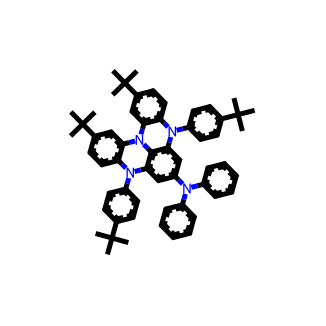 CC(C)(C)c1ccc(N2c3ccc(C(C)(C)C)cc3N3c4cc(C(C)(C)C)ccc4N(c4ccc(C(C)(C)C)cc4)c4cc(N(c5ccccc5)c5ccccc5)cc2c43)cc1